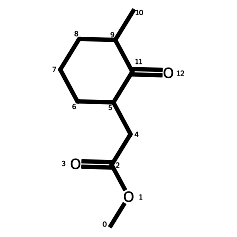 COC(=O)CC1CCCC(C)C1=O